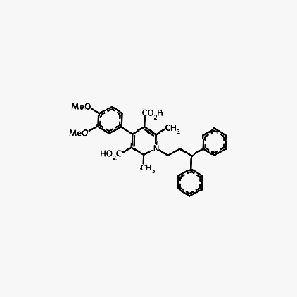 COc1ccc(C2=C(C(=O)O)C(C)N(CCC(c3ccccc3)c3ccccc3)C(C)=C2C(=O)O)cc1OC